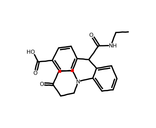 CCNC(=O)C(c1ccc(C(=O)O)cc1)c1ccccc1N1CCC(=O)CC1